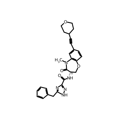 CN1C(=O)[C@@H](NC(=O)c2n[nH]c(Cc3ccccc3)n2)COc2ccc(C#CC3CCOCC3)cc21